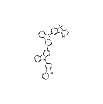 CC1(C)c2ccc(-n3c4ccccc4c4cc(-c5ccc6c(c5)c5ccccc5n6-c5ccc6sc7ccccc7c6c5)ccc43)cc2-c2ncccc21